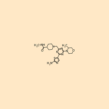 CNC(=O)C1CCN(Cc2nc(-c3cnc(N)s3)nc(N3CCOCC3C)n2)CC1